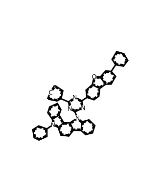 c1ccc(-c2ccc3c(c2)oc2cc(-c4nc(-c5ccccc5)nc(-n5c6ccccc6c6ccc7c(c8ccccc8n7-c7ccccc7)c65)n4)ccc23)cc1